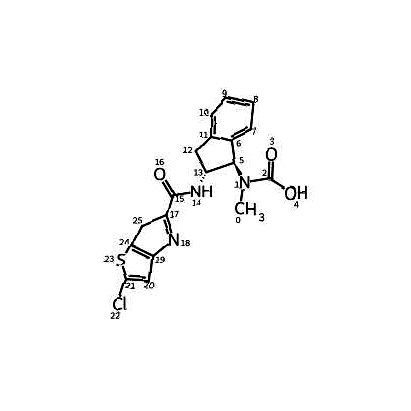 CN(C(=O)O)[C@@H]1c2ccccc2C[C@H]1NC(=O)C1=Nc2cc(Cl)sc2C1